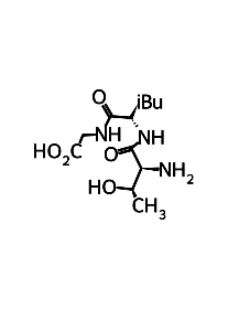 CC[C@H](C)[C@H](NC(=O)[C@@H](N)[C@@H](C)O)C(=O)NCC(=O)O